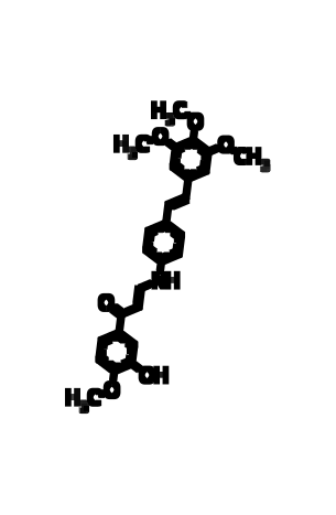 COc1ccc(C(=O)C=CNc2ccc(C=Cc3cc(OC)c(OC)c(OC)c3)cc2)cc1O